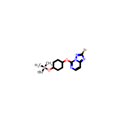 CC(C)(C)[Si](C)(C)OC1CCC(Oc2nccc3nc(Br)nn23)CC1